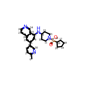 Cc1ccc(-c2cc(NC3CCN(S(=O)(=O)C4CCCC4)CC3)c3cnccc3c2)cn1